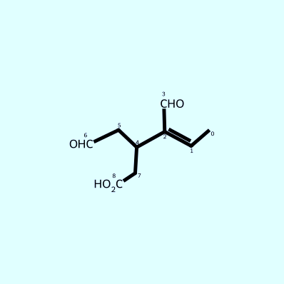 C/C=C(\C=O)C(CC=O)CC(=O)O